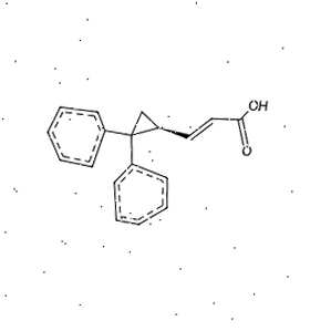 O=C(O)/C=C/[C@@H]1CC1(c1ccccc1)c1ccccc1